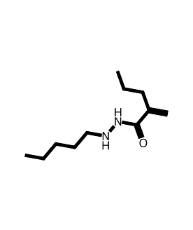 C=C(CCC)C(=O)NNCCCCC